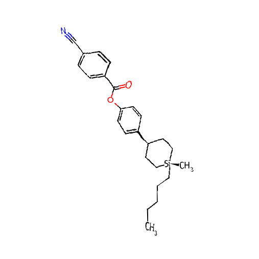 CCCCC[Si@]1(C)CC[C@@H](c2ccc(OC(=O)c3ccc(C#N)cc3)cc2)CC1